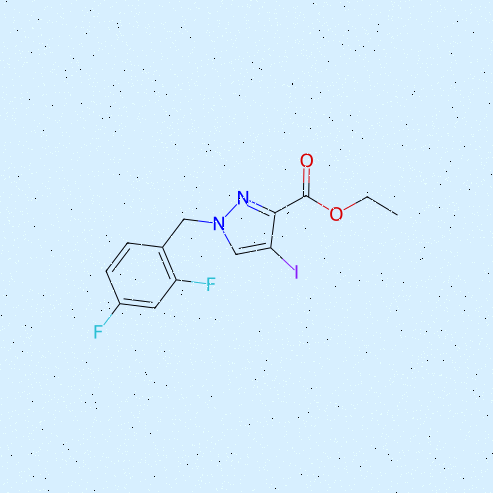 CCOC(=O)c1nn(Cc2ccc(F)cc2F)cc1I